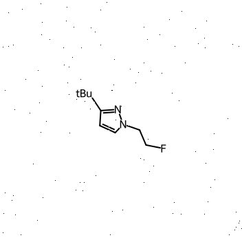 CC(C)(C)c1ccn(CCF)n1